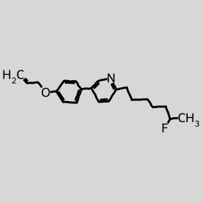 C=CCOc1ccc(-c2ccc(CCCCCC(C)F)nc2)cc1